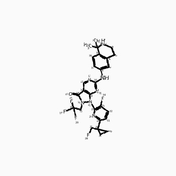 CC1(C)NCCc2cc(Nc3ncc4c(=O)n(CC(F)(F)F)n(-c5nc(C6(CF)CC6)ccc5F)c4n3)ccc21